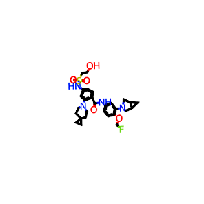 O=C(Nc1ccc(OCF)c(N2CC3CC3C2)c1)c1ccc(NS(=O)(=O)CCO)cc1N1CCC2(CC1)CC2